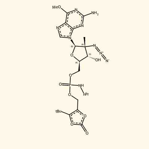 CCCNP(=O)(OCc1oc(=O)oc1C(C)(C)C)OC[C@H]1O[C@@H](n2cnc3c(OC)nc(N)nc32)[C@](C)(N=[N+]=[N-])[C@@H]1O